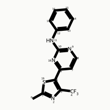 Cc1nc(C(F)(F)F)c(-c2ccnc(Nc3ccccc3)n2)s1